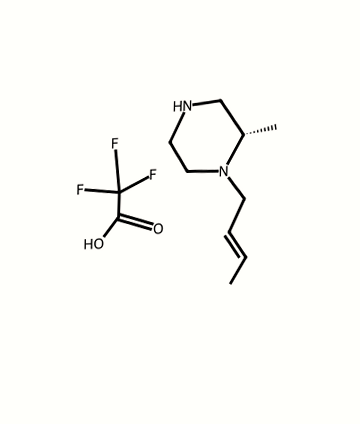 CC=CCN1CCNC[C@@H]1C.O=C(O)C(F)(F)F